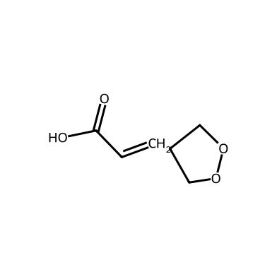 C1COOC1.C=CC(=O)O